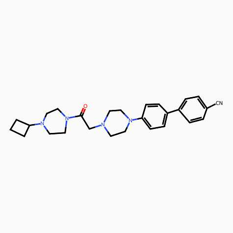 N#Cc1ccc(-c2ccc(N3CCN(CC(=O)N4CCN(C5CCC5)CC4)CC3)cc2)cc1